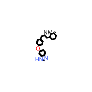 CNC(Cc1ccc(Oc2ccc3nc[nH]c3c2)cc1)CC1CCCCC1